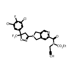 C#CCN(C(=O)OCC)C(=O)c1cc2c(cn1)CN(C1=NOC(c3cc(Cl)c(F)c(Cl)c3)(C(F)(F)F)C1)C2